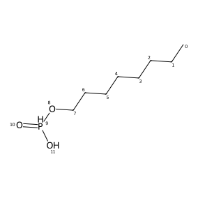 CCCCCCCCO[PH](=O)O